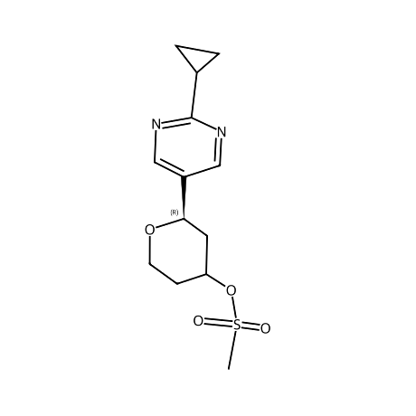 CS(=O)(=O)OC1CCO[C@@H](c2cnc(C3CC3)nc2)C1